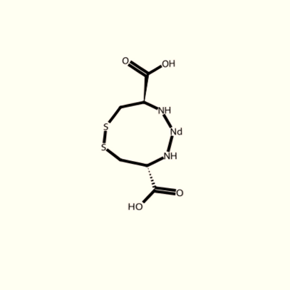 O=C(O)[C@@H]1CSSC[C@@H](C(=O)O)[NH][Nd][NH]1